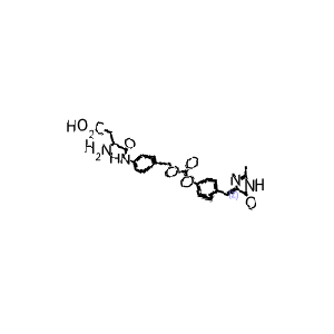 CC1=N/C(=C\c2ccc(OC(=O)OCc3ccc(NC(=O)C(N)CC(=O)O)cc3)cc2)C(=O)N1